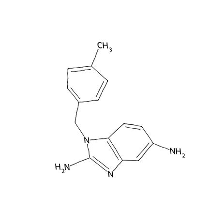 Cc1ccc(Cn2c(N)nc3cc(N)ccc32)cc1